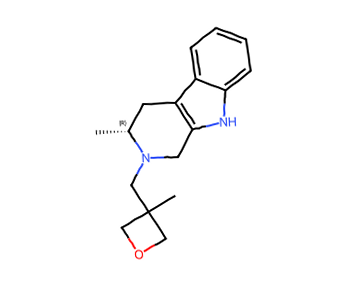 C[C@@H]1Cc2c([nH]c3ccccc23)CN1CC1(C)COC1